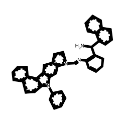 NC(C1=C(/N=C/n2ccc3cc4c5c6ccccc6ccc5n(-c5ccccc5)c4cc32)C=CCC1)c1cccc2ccccc12